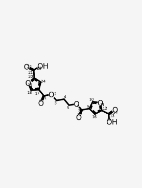 O=C(OCCCOC(=O)c1coc(C(=O)O)c1)c1coc(C(=O)O)c1